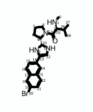 CN[C@H](C(=O)N1CCC[C@H]1C1NC=C(c2ccc3cc(Br)ccc3c2)N1)C(C)C